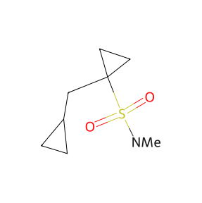 CNS(=O)(=O)C1(CC2CC2)CC1